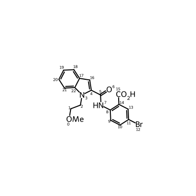 COCCn1c(C(=O)Nc2ccc(Br)cc2C(=O)O)cc2ccccc21